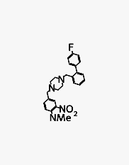 CNc1ccc(CN2CCN(Cc3ccccc3-c3ccc(F)cc3)CC2)cc1[N+](=O)[O-]